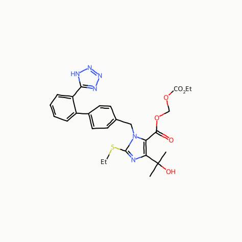 CCOC(=O)OCOC(=O)c1c(C(C)(C)O)nc(SCC)n1Cc1ccc(-c2ccccc2-c2nnn[nH]2)cc1